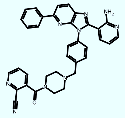 N#Cc1ncccc1C(=O)N1CCN(Cc2ccc(-n3c(-c4cccnc4N)nc4ccc(-c5ccccc5)nc43)cc2)CC1